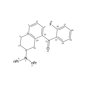 CCCN(CCC)C1CCc2cccc(C(=O)c3ccccc3F)c2C1